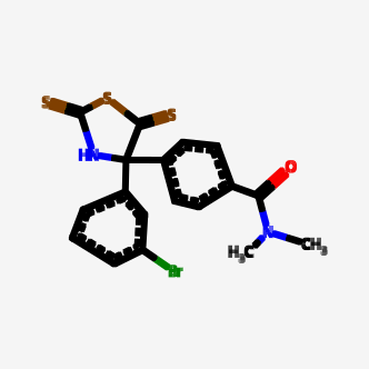 CN(C)C(=O)c1ccc(C2(c3cccc(Br)c3)NC(=S)SC2=S)cc1